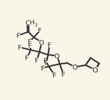 C=C(F)C(F)(F)OC(F)(C(F)(F)F)C(F)(F)OC(F)(COC1CCO1)C(F)(F)F